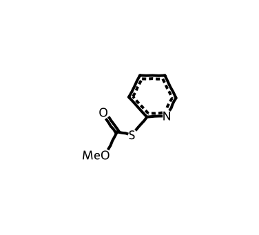 COC(=O)Sc1ccccn1